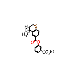 CCOC(=O)c1cccc(OC(=O)c2ccc3c(c2)C(C)(C)CCS3)c1